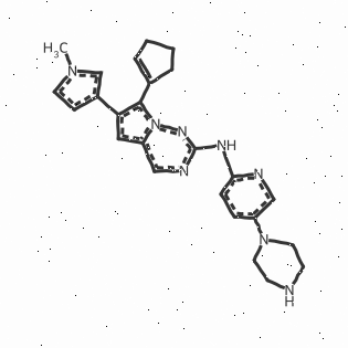 Cn1ccc(-c2cc3cnc(Nc4ccc(N5CCNCC5)cn4)nn3c2C2=CCCC2)c1